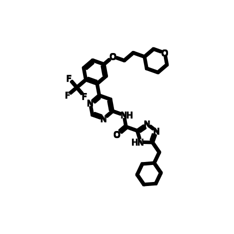 O=C(Nc1cc(-c2cc(OCCC3CCCOC3)ccc2C(F)(F)F)ncn1)c1nnc(CC2CCCCC2)[nH]1